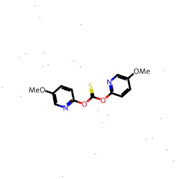 COc1ccc(OC(=S)Oc2ccc(OC)cn2)nc1